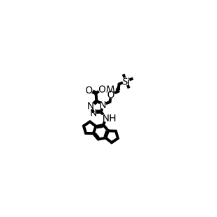 COC(=O)c1nnc(Nc2c3c(cc4c2CCC4)CCC3)n1COCC[Si](C)(C)C